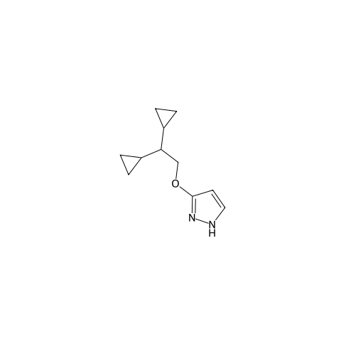 c1cc(OCC(C2CC2)C2CC2)n[nH]1